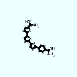 N=C(N)c1ccc(-c2ccc(-c3ccc(-c4ccc(C(=N)N)s4)s3)s2)cc1